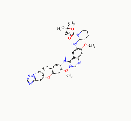 COc1cc(Oc2ccn3ncnc3c2)c(C)cc1Nc1ncnc2cc(OC)c(NC3CCCCN3C(=O)OC(C)(C)C)cc12